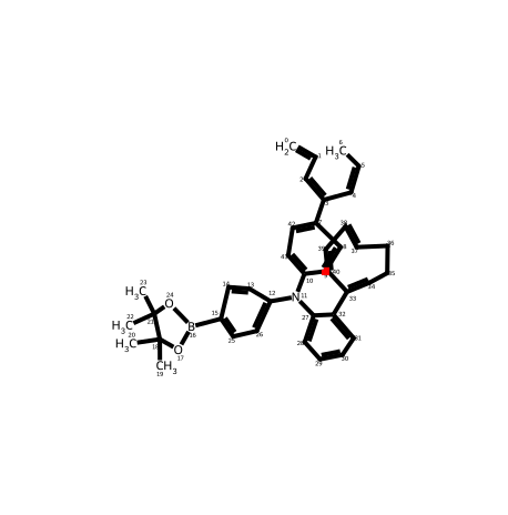 C=C/C=C(\C=C/C)c1ccc(N(c2ccc(B3OC(C)(C)C(C)(C)O3)cc2)c2ccccc2C2=C/CC/C=C/C=C\2)cc1